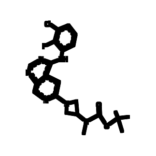 CN(C(=O)OC(C)(C)C)C1CN(c2cc3c(Nc4cccc(Cl)c4F)ncnc3cn2)C1